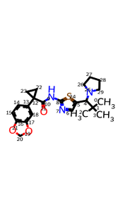 CC(C)(C)C(c1cnc(NC(=O)C2(c3ccc4c(c3)OCO4)CC2)s1)N1CCCC1